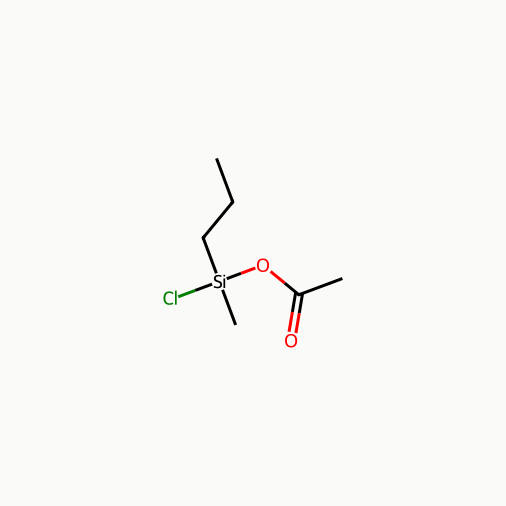 CCC[Si](C)(Cl)OC(C)=O